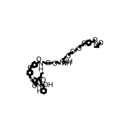 CCCCN1C(=O)[C@H]([C@H](O)C2CCCCC2)NC(=O)C12CCN(Cc1ccc(Oc3ccc(C(=O)NCCOCCOCCN4C=C(COCCOCCOCCOc5ccc(C(=O)N6CCC6=O)cc5)NN4)cc3)cc1)CC2